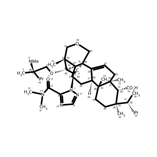 CN[C@@](C)(CO[C@H]1[C@H](n2ncnc2C(=O)N(C)C)C[C@@]23COC[C@]1(C)[C@@H]2CC[C@H]1C3=CC[C@@]2(C)[C@H](C(=O)O)[C@@](C)([C@H](C)C(C)C)CC[C@]12C)C(C)C